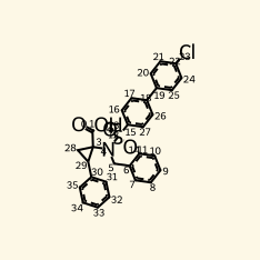 O=C(O)C1(N(Cc2ccccc2)S(=O)(=O)c2ccc(-c3ccc(Cl)cc3)cc2)CC1c1ccccc1